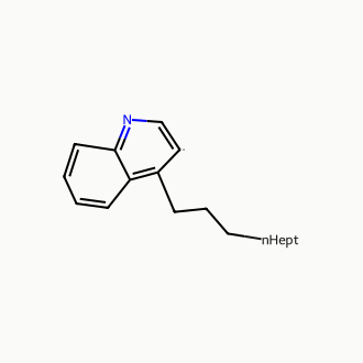 CCCCCCCCCCc1[c]cnc2ccccc12